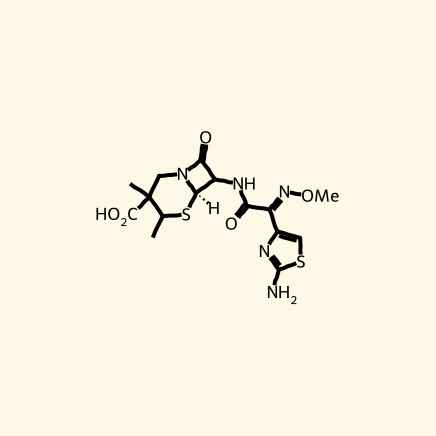 CON=C(C(=O)NC1C(=O)N2CC(C)(C(=O)O)C(C)S[C@H]12)c1csc(N)n1